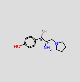 N[C@H](CN1CCCC1)[C@H](S)c1ccc(O)cc1